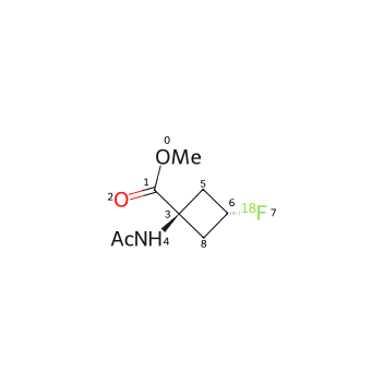 COC(=O)[C@]1(NC(C)=O)C[C@H]([18F])C1